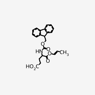 CC=COC(=O)C(CCC(=O)O)NC(=O)OCC1c2ccccc2-c2ccccc21